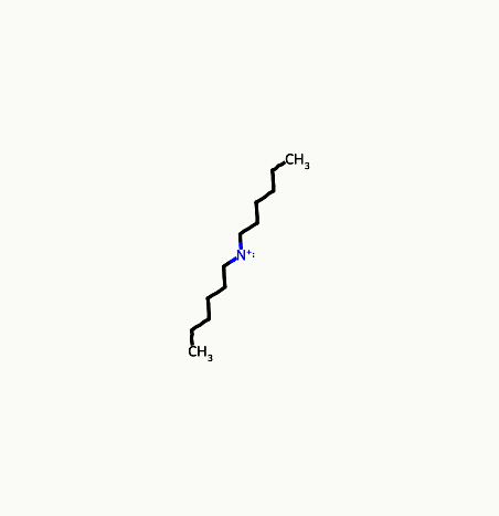 CCCCCC[N+]CCCCCC